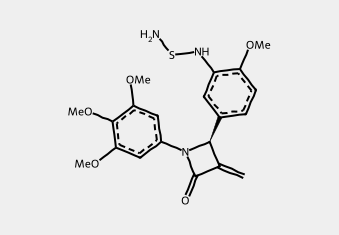 C=C1C(=O)N(c2cc(OC)c(OC)c(OC)c2)[C@H]1c1ccc(OC)c(NSN)c1